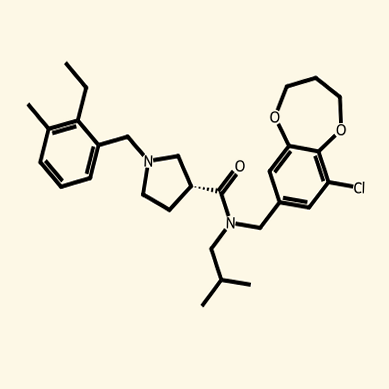 CCc1c(C)cccc1CN1CC[C@@H](C(=O)N(Cc2cc(Cl)c3c(c2)OCCCO3)CC(C)C)C1